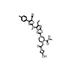 CCc1nc2sc(N3CCN(CC(=O)N4CC(O)C4)[C@H](C(=O)NC)C3)nn2c1N(C)c1nc(-c2ccc(C)cc2)c(C#N)s1